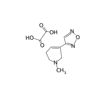 CN1CCC=C(c2cnon2)C1.O=C(O)C(=O)O